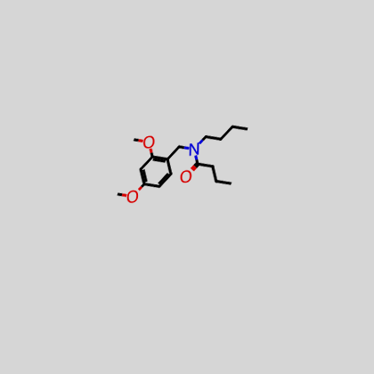 CCCCN(Cc1ccc(OC)cc1OC)C(=O)CCC